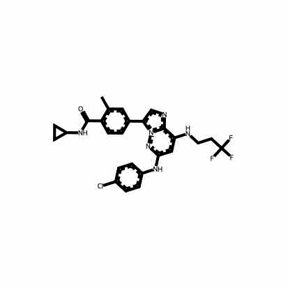 Cc1cc(-c2cnc3c(NCCC(F)(F)F)cc(Nc4ccc(Cl)cc4)nn23)ccc1C(=O)NC1CC1